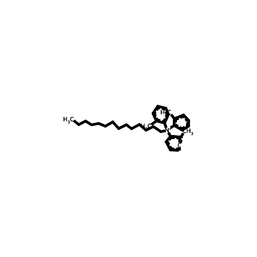 CCCCCCCCCCCCCC[N+](c1ccccc1C)(c1ccccc1C)c1ccccc1C